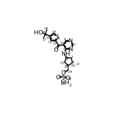 C[C@H]1C[C@H](Nc2ncncc2C(=O)c2cc(C(C)(C)O)cs2)C[C@@H]1COS(N)(=O)=O